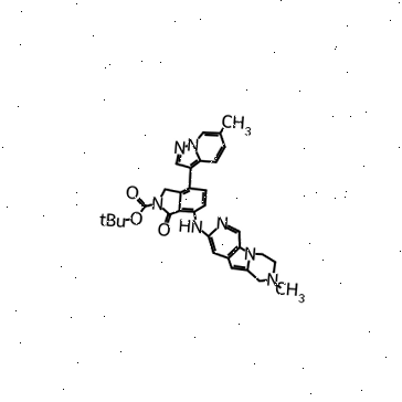 Cc1ccc2c(-c3ccc(Nc4cc5cc6n(c5cn4)CCN(C)C6)c4c3CN(C(=O)OC(C)(C)C)C4=O)cnn2c1